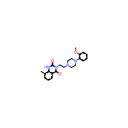 COc1ccccc1N1CCN(CCn2c(=O)[nH]c3c(C)cccc3c2=O)CC1